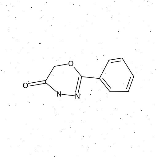 O=C1COC(c2ccccc2)=N[N]1